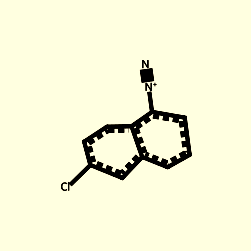 N#[N+]c1cccc2cc(Cl)ccc12